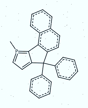 CP1=CC=C2C=1c1c(ccc3ccccc13)C2(c1ccccc1)c1ccccc1